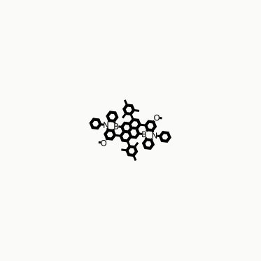 COc1cc2c3c(c1)N(c1ccccc1)c1ccccc1B3c1cc3c(-c4c(C)cc(C)cc4C)cc4c5c(cc6c(-c7c(C)cc(C)cc7C)cc-2c1c6c35)B1c2ccccc2N(c2ccccc2)c2cc(OC)cc-4c21